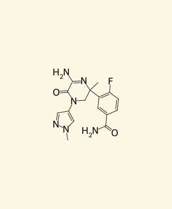 Cn1cc(N2CC(C)(c3cc(C(N)=O)ccc3F)N=C(N)C2=O)cn1